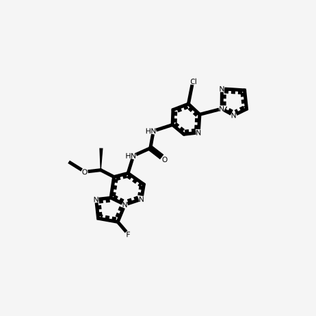 CO[C@@H](C)c1c(NC(=O)Nc2cnc(-n3nccn3)c(Cl)c2)cnn2c(F)cnc12